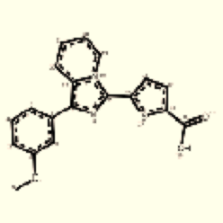 COc1cccc(-c2nc(-c3ccc(C(=O)O)s3)n3ccccc23)c1